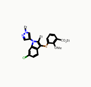 CCOC(=O)c1cccc(Sc2c(CC)n(-c3cnn(CC)c3)c3cc(Cl)ccc23)c1OC